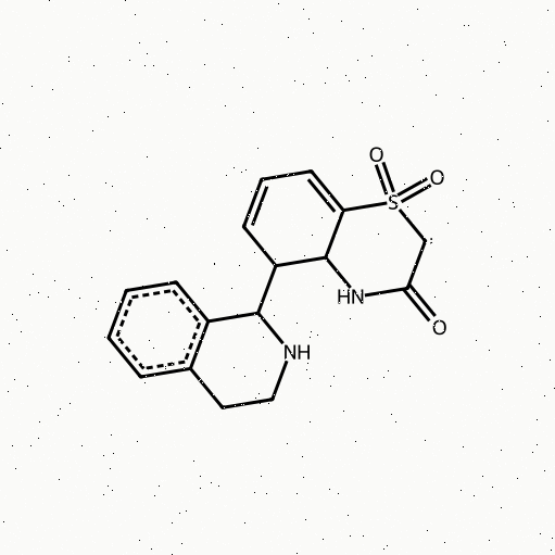 O=C1[C]S(=O)(=O)C2=CC=CC(C3NCCc4ccccc43)C2N1